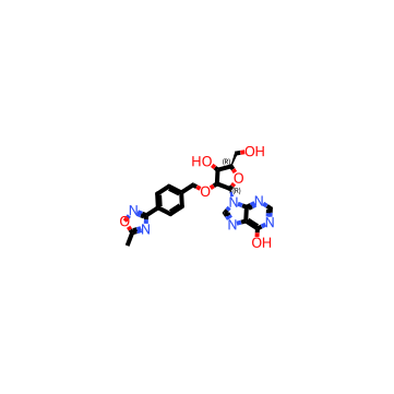 Cc1nc(-c2ccc(COC3C(O)[C@@H](CO)O[C@H]3n3cnc4c(O)ncnc43)cc2)no1